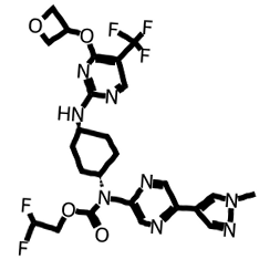 Cn1cc(-c2cnc(N(C(=O)OCC(F)F)[C@H]3CC[C@H](Nc4ncc(C(F)(F)F)c(OC5COC5)n4)CC3)cn2)cn1